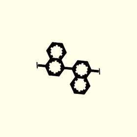 Ic1ccc(-c2ccc(I)c3ccccc23)c2ccccc12